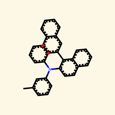 Cc1cccc(N(c2ccccc2)c2ccc3ccccc3c2-c2ccc3ccccc3c2)c1